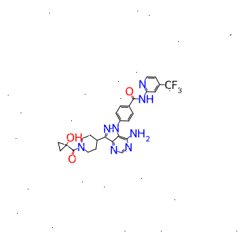 Nc1ncnc2c(C3CCN(C(=O)C4(O)CC4)CC3)nn(-c3ccc(C(=O)Nc4cc(C(F)(F)F)ccn4)cc3)c12